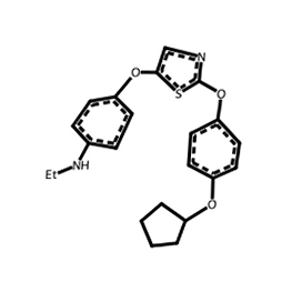 CCNc1ccc(Oc2cnc(Oc3ccc(OC4CCCC4)cc3)s2)cc1